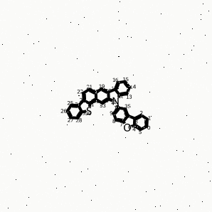 c1ccc2c(c1)oc1ccc(-n3c4ccccc4c4cc5ccc6c7ccccc7sc6c5cc43)cc12